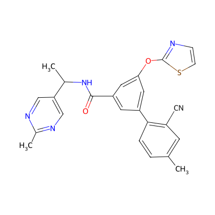 Cc1ccc(-c2cc(Oc3nccs3)cc(C(=O)NC(C)c3cnc(C)nc3)c2)c(C#N)c1